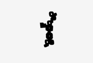 CCOC(=O)c1ccc(-c2ccc(OCCOC(C)=O)c(Br)c2)cc1